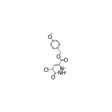 COc1ccc(COC(=O)C2=CC(Cl)C(=O)NN2C)cc1